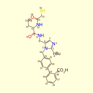 CCCCc1ncc(CNC(=O)C(CC(C)C)NC(=O)CS)n1Cc1ccc(-c2ccccc2C(=O)O)cc1